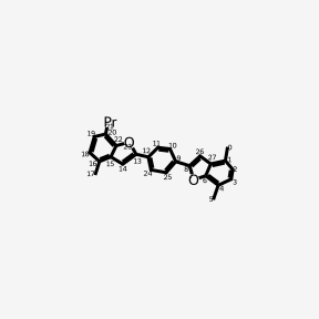 Cc1ccc(C)c2oc(-c3ccc(-c4cc5c(C)cc[c]([Pr])c5o4)cc3)cc12